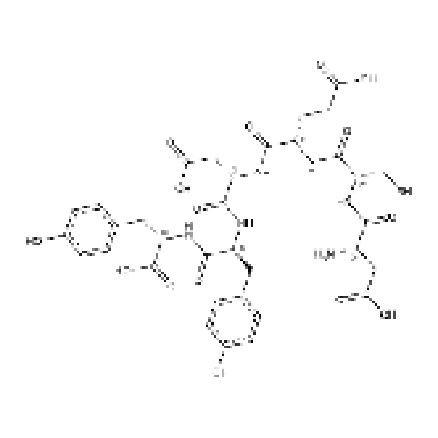 N[C@@H](CC(=O)O)C(=O)N[C@@H](CS)C(=O)N[C@@H](CCC(=O)O)C(=O)N[C@@H](CC(=O)O)C(=O)N[C@@H](Cc1ccc(O)cc1)C(=O)N[C@@H](Cc1ccc(O)cc1)C(=O)O